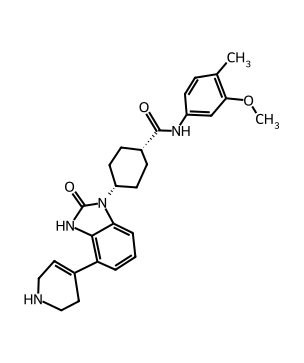 COc1cc(NC(=O)[C@H]2CC[C@@H](n3c(=O)[nH]c4c(C5=CCNCC5)cccc43)CC2)ccc1C